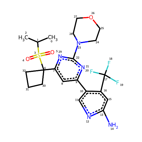 CC(C)S(=O)(=O)C1(c2cc(-c3cnc(N)cc3C(F)(F)F)nc(N3CCOCC3)n2)CCC1